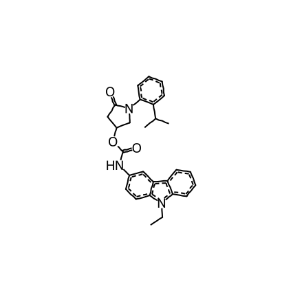 CCn1c2ccccc2c2cc(NC(=O)OC3CC(=O)N(c4ccccc4C(C)C)C3)ccc21